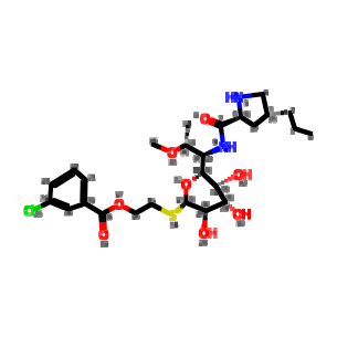 CCC[C@H]1CN[C@H](C(=O)N[C@@H]([C@H]2O[C@H](SCCOC(=O)c3cccc(Cl)c3)[C@H](O)[C@@H](O)[C@H]2O)[C@@H](C)OC)C1